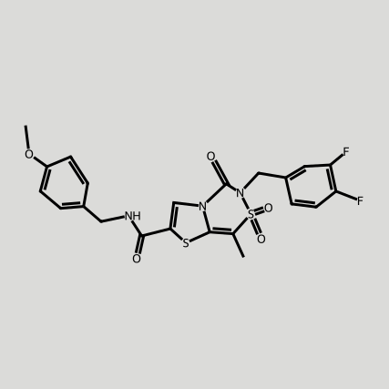 COc1ccc(CNC(=O)C2=CN3C(=O)N(Cc4ccc(F)c(F)c4)S(=O)(=O)C(C)=C3S2)cc1